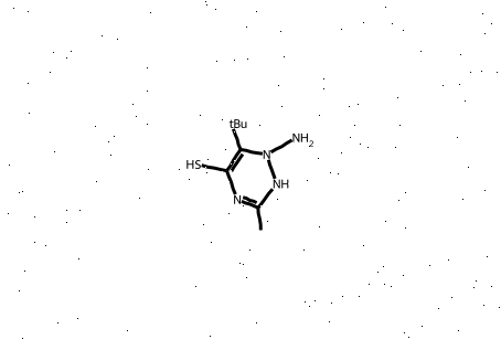 CC1=NC(S)=C(C(C)(C)C)N(N)N1